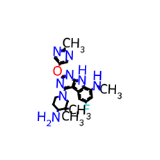 CNc1cc(F)cc2c1[nH]c1nc(Oc3cnc(C)nc3)nc(N3CCC(N)C(C)(C)C3)c12